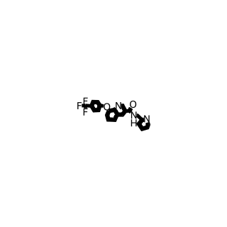 O=C(NCc1ccccn1)c1cnc2c(Oc3ccc(C(F)(F)F)cc3)cccc2c1